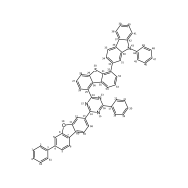 c1ccc(-c2ccc3c(c2)oc2cc(-c4nc(-c5ccccc5)nc(-c5cccc6sc7c(-c8ccc9c%10ccccc%10n(-c%10ccccc%10)c9c8)cccc7c56)n4)ccc23)cc1